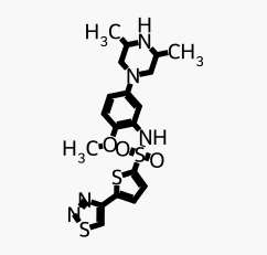 COc1ccc(N2CC(C)NC(C)C2)cc1NS(=O)(=O)c1ccc(-c2csnn2)s1